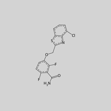 NC(=O)c1c(F)ccc(OCc2nc3c(Cl)cccc3s2)c1F